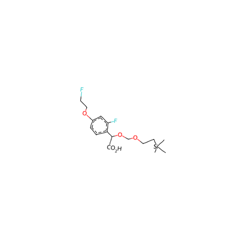 C[Si](C)(C)CCOCOC(C(=O)O)c1ccc(OCCF)cc1F